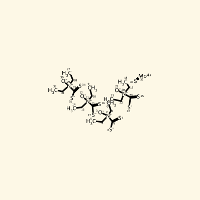 CC[N+]([O-])(CC)C(=S)[S-].CC[N+]([O-])(CC)C(=S)[S-].CC[N+]([O-])(CC)C(=S)[S-].CC[N+]([O-])(CC)C(=S)[S-].[S]=[Mo+4]